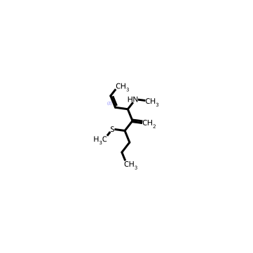 C=C(C(/C=C\C)NC)C(CCC)SC